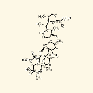 CCC(C(=O)[C@@H](C)[C@@H](O)[C@H](C)[C@@H]1O[C@@H]([C@@H](CC)C(=O)O)CC[C@@H]1C)[C@H]1O[C@]2(C=CC(NC(=O)OC(C)(C)C)[C@]3(CC[C@@](C)([C@H]4CC[C@](O)(CC)[C@H](C)O4)O3)O2)[C@H](C)C[C@@H]1C